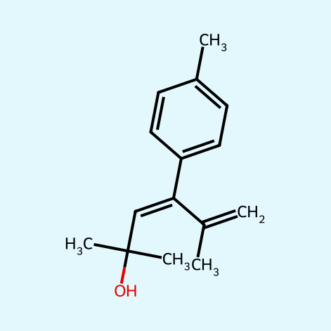 C=C(C)/C(=C\C(C)(C)O)c1ccc(C)cc1